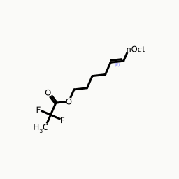 CCCCCCCC/C=C/CCCCOC(=O)C(C)(F)F